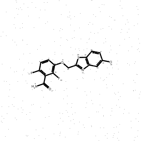 NC(=O)c1c(F)ccc(OCc2nc3cc(Cl)ccc3s2)c1F